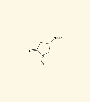 CC(=O)NC1CC(=O)N(C(C)C)C1